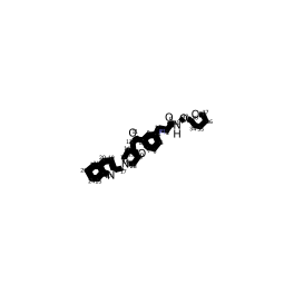 O=C(/C=C/c1ccc2c(c1)C(=O)CC1(CCN(Cc3ccc4ccccc4n3)CC1)O2)NOC1CCCCO1